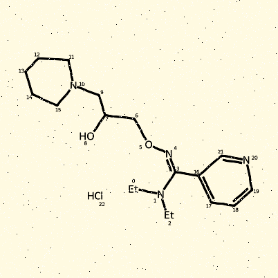 CCN(CC)C(=NOCC(O)CN1CCCCC1)c1cccnc1.Cl